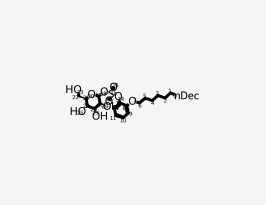 CCCCCCCCCCCCCCCCOc1ccccc1OS(=O)(=O)O[C@@H]1O[C@H](CO)[C@@H](O)[C@H](O)[C@H]1O